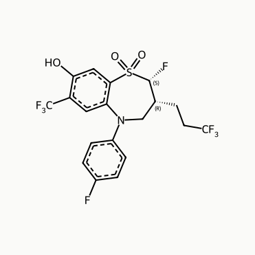 O=S1(=O)c2cc(O)c(C(F)(F)F)cc2N(c2ccc(F)cc2)C[C@@H](CCC(F)(F)F)[C@H]1F